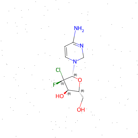 NC1=NCN([C@@H]2O[C@H](CO)[C@@H](O)[C@]2(F)Cl)C=C1